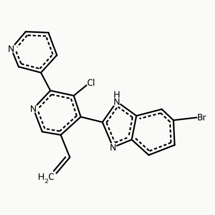 C=Cc1cnc(-c2cccnc2)c(Cl)c1-c1nc2ccc(Br)cc2[nH]1